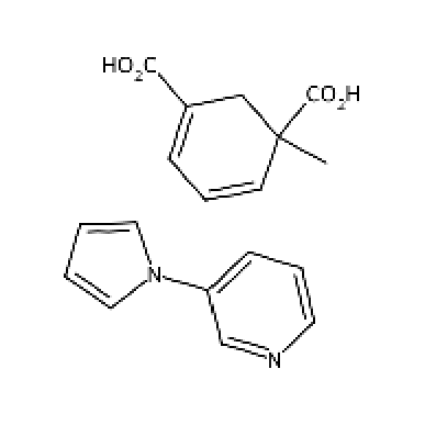 CC1(C(=O)O)C=CC=C(C(=O)O)C1.c1cncc(-n2cccc2)c1